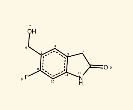 O=C1Cc2cc(CO)c(F)cc2N1